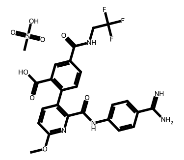 COc1ccc(-c2ccc(C(=O)NCC(F)(F)F)cc2C(=O)O)c(C(=O)Nc2ccc(C(=N)N)cc2)n1.CS(=O)(=O)O